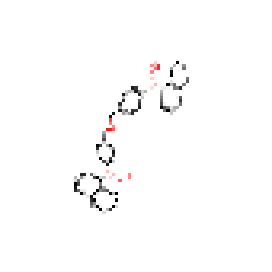 OB(c1ccc(COCc2ccc(B(O)c3cccc4ccccc34)cc2)cc1)c1cccc2ccccc12